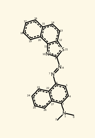 CN(C)c1ccc(N=Nc2nc3c(ccc4ccccc43)s2)c2ccccc12